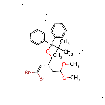 COC(C[C@H](C=C(Br)Br)CO[Si](c1ccccc1)(c1ccccc1)C(C)(C)C)OC